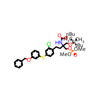 CCCCOC(=O)NC(CCc1ccc(Sc2cccc(OCc3ccccc3)c2)cc1Cl)(CO[Si](C)(C)C(C)(C)C)COP(=O)(OC)OC